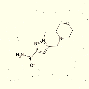 Cn1nc([S+](N)[O-])cc1CN1CCOCC1